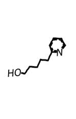 OCCCCCc1ccccn1